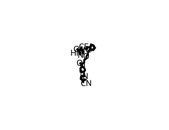 N#Cc1ccc(N2CCN(C(=O)CCCOC[C@@H]3c4ccccc4CN3c3cn[nH]c(=O)c3C(F)(F)F)CC2)nc1